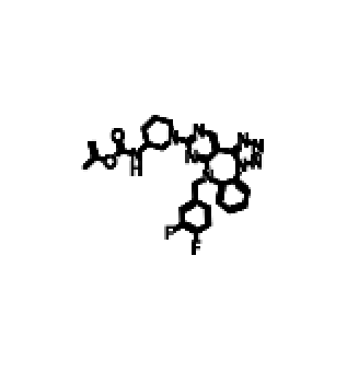 C=C(C)OC(=O)NC1CCCN(c2ncc3c(n2)N(Cc2ccc(F)c(F)c2)c2ccccc2-n2nnnc2-3)C1